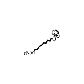 CCCCCCCCCCCCCCCCCCOP1OCCO1